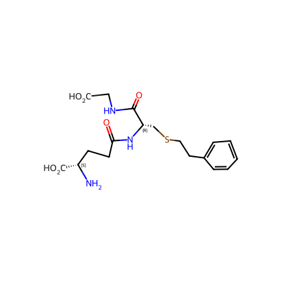 N[C@@H](CCC(=O)N[C@@H](CSCCc1ccccc1)C(=O)NCC(=O)O)C(=O)O